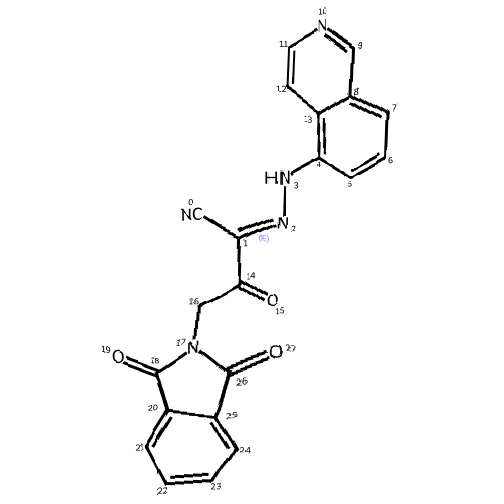 N#C/C(=N\Nc1cccc2cnccc12)C(=O)CN1C(=O)c2ccccc2C1=O